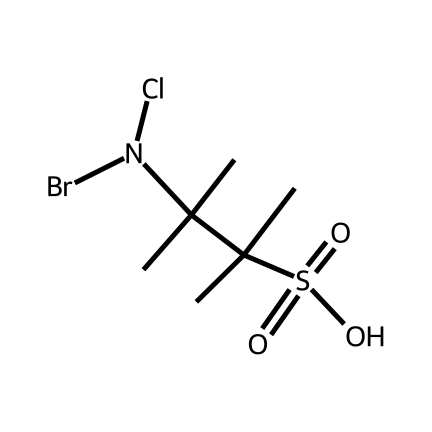 CC(C)(N(Cl)Br)C(C)(C)S(=O)(=O)O